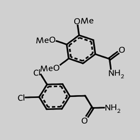 COc1cc(C(N)=O)cc(OC)c1OC.NC(=O)Cc1ccc(Cl)c(Cl)c1